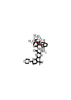 CC(C)(C)OC(=O)NC1[C@@H]2CC[C@H]1CN(c1cccnc1NC(=O)c1nc(-c3nc(N4CCOCC4)ccc3C(F)(F)F)cnc1N)C2